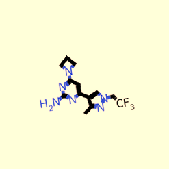 Cc1nn(CC(F)(F)F)cc1-c1cc(N2C[CH]C2)nc(N)n1